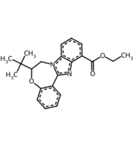 CCOC(=O)c1cccc2c1nc1n2CC(C(C)(C)C)Oc2ccccc2-1